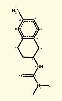 CN(C)C(=O)NC1CCc2cc(N)ccc2C1